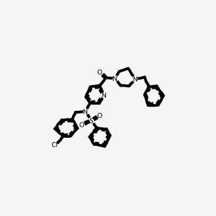 O=C(c1ccc(N(Cc2ccc(Cl)cc2)S(=O)(=O)c2ccccc2)cn1)N1CCN(Cc2ccccc2)CC1